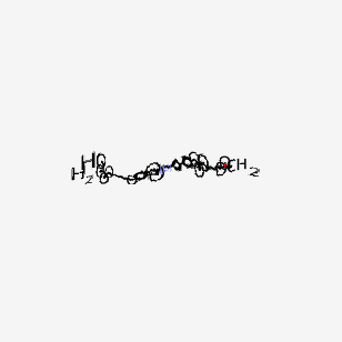 C=CC(=O)OCCCCOC(=O)Oc1ccc(-c2ccc(/C=C/C(=O)Oc3ccc(OCCCCCCOC(=O)C(=C)CO)cc3)cc2)cc1